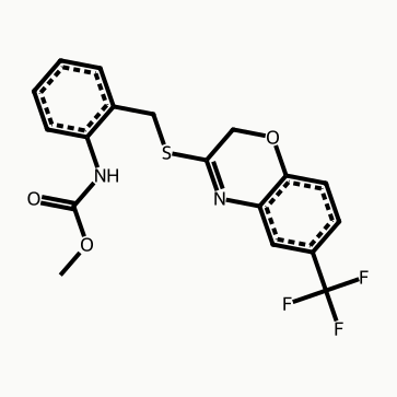 COC(=O)Nc1ccccc1CSC1=Nc2cc(C(F)(F)F)ccc2OC1